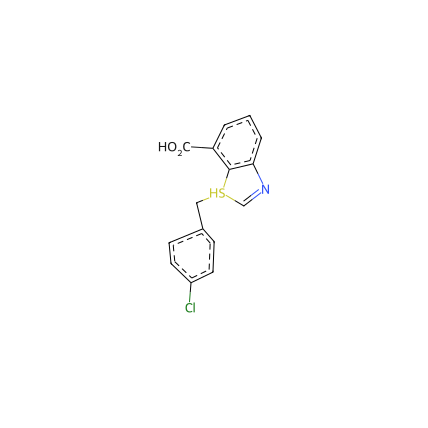 O=C(O)c1cccc2c1[SH](Cc1ccc(Cl)cc1)C=N2